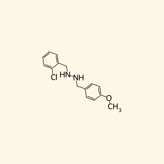 COc1ccc(CNNCc2ccccc2Cl)cc1